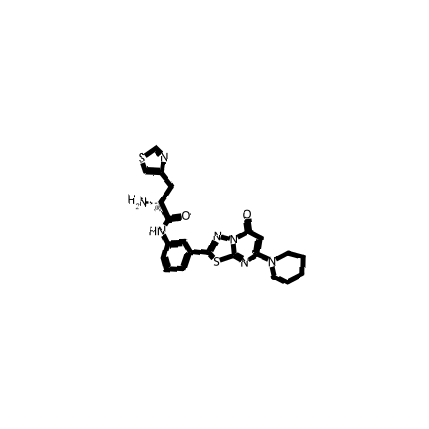 N[C@H](Cc1cscn1)C(=O)Nc1cccc(-c2nn3c(=O)cc(N4CCCCC4)nc3s2)c1